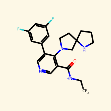 O=C(NCC(F)(F)F)c1cncc(-c2cc(F)cc(F)c2)c1N1CCC2(CCCN2)C1